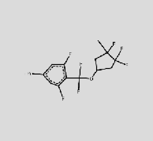 CCCc1cc(F)c(C(F)(F)OC2CC(C)(F)C(F)(F)C2)c(F)c1